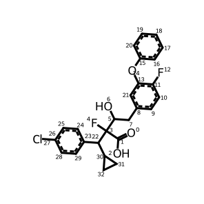 O=C(O)C(F)(C(O)Cc1ccc(F)c(Oc2ccccc2)c1)C(c1ccc(Cl)cc1)C1CC1